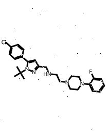 CC(C)(C)n1nc(CNCCN2CCN(c3ccccc3F)CC2)cc1-c1ccc(Cl)cc1